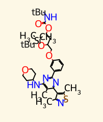 Cc1nsc(C)c1-c1nc(-c2cccc(OCC(CCOC(=O)NC(C)(C)C)O[Si](C)(C)C(C)(C)C)c2)nc(NC2CCOCC2)c1C